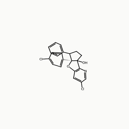 OC12CCC(c3ccccc3)[C@]1(c1ccc(Cl)cc1)Oc1cc(Cl)cnc12